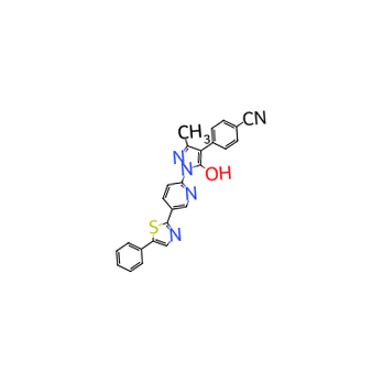 Cc1nn(-c2ccc(-c3ncc(-c4ccccc4)s3)cn2)c(O)c1-c1ccc(C#N)cc1